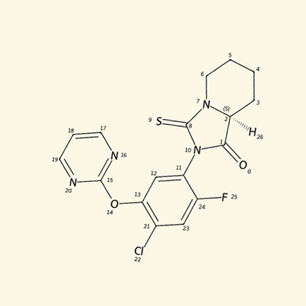 O=C1[C@@H]2CCCCN2C(=S)N1c1cc(Oc2ncccn2)c(Cl)cc1F